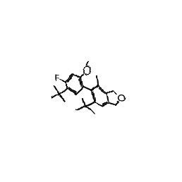 COc1cc(F)c(C(C)(C)C)cc1-c1c(C(C)(C)C)cc2c(c1C)COC2